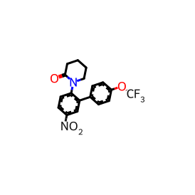 O=C1CCCCN1c1ccc([N+](=O)[O-])cc1-c1ccc(OC(F)(F)F)cc1